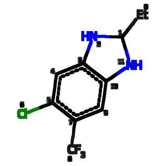 CCC1Nc2cc(Cl)c(C(F)(F)F)cc2N1